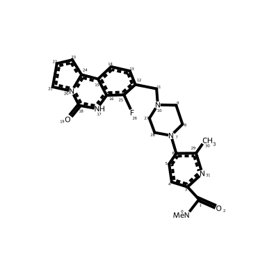 CNC(=O)c1ccc(N2CCN(Cc3ccc4c([nH]c(=O)n5cccc45)c3F)CC2)c(C)n1